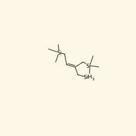 C[Si](C)(C)CC=C(C[SiH3])C[Si](C)(C)C